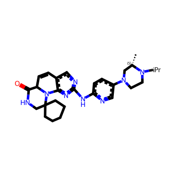 CC(C)N1CCN(c2ccc(Nc3ncc4c(n3)N3C(C=C4)C(=O)NCC34CCCCC4)nc2)C[C@@H]1C